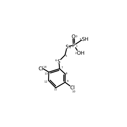 O=P(O)(S)SCSc1cc(Cl)ccc1Cl